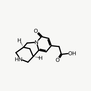 O=C(O)Cc1cc2n(c(=O)c1)C[C@@H]1CNC[C@H]2C1